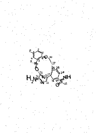 Cc1ccc2c(c1)[C@@H](C)Oc1nc(cnc1N)-c1cc(S(C)(=N)=O)ccc1CCO2